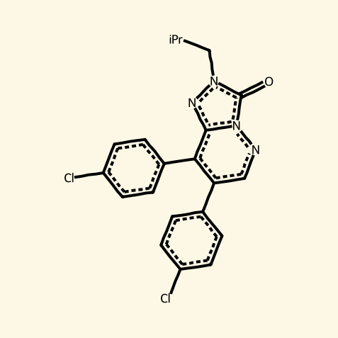 CC(C)Cn1nc2c(-c3ccc(Cl)cc3)c(-c3ccc(Cl)cc3)cnn2c1=O